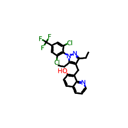 CCc1nn(-c2c(Cl)cc(C(F)(F)F)cc2Cl)c(CC)c1Cc1c(O)ccc2cccnc12